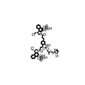 CC(COC(=O)Nc1cc(C=CC(=O)N2C[C@@H](CCl)c3c2cc(OP(=O)(O)O)c2ccccc32)ccc1C=CC(=O)N1C[C@@H](CCl)c2c1cc(OP(=O)(O)O)c1ccccc21)SSc1ncc[nH]1